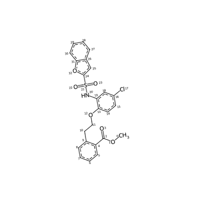 COC(=O)c1ccccc1CCOc1ccc(Cl)cc1NS(=O)(=O)c1cc2ccccc2o1